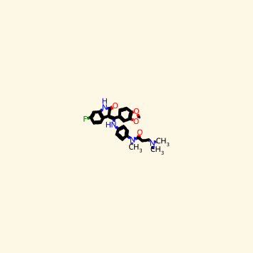 CN(C)CCC(=O)N(C)c1ccc(NC(=C2C(=O)Nc3cc(F)ccc32)c2ccc3c(c2)OCO3)cc1